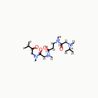 CC(C)C(=O)CN(C)C(=O)CN(C)C(=O)CCN(C)C(=O)CN(C)C(C)C